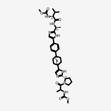 COC(=O)NC(C)C(=O)N1CCC[C@H]1c1ncc(C23CCC(c4ccc(-c5cnc([C@H](C)NC(=O)[C@@H](NC(=O)OC)C(C)C)[nH]5)cc4)(CC2)CC3)[nH]1